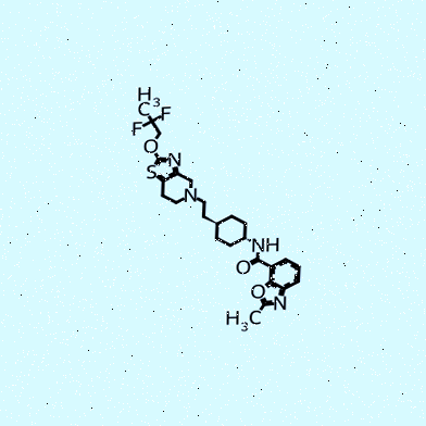 Cc1nc2cccc(C(=O)N[C@H]3CC[C@H](CCN4CCc5sc(OCC(C)(F)F)nc5C4)CC3)c2o1